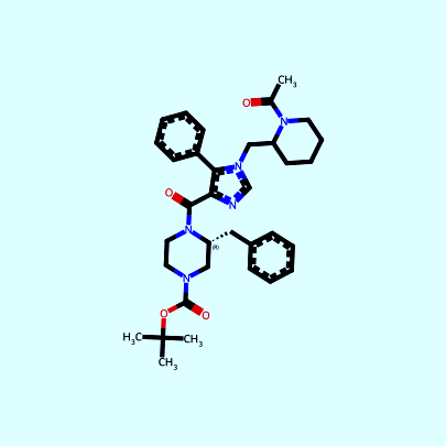 CC(=O)N1CCCCC1Cn1cnc(C(=O)N2CCN(C(=O)OC(C)(C)C)C[C@H]2Cc2ccccc2)c1-c1ccccc1